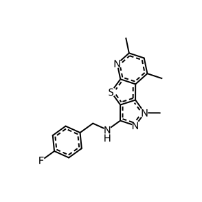 Cc1cc(C)c2c(n1)sc1c(NCc3ccc(F)cc3)nn(C)c12